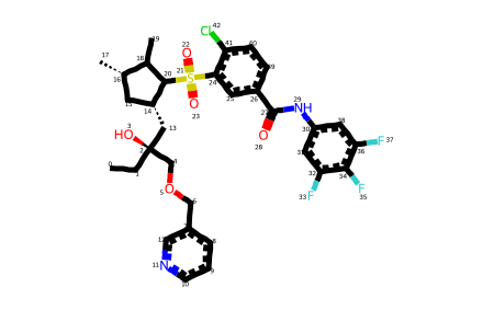 CC[C@@](O)(COCc1cccnc1)C[C@@H]1C[C@H](C)C(C)C1S(=O)(=O)c1cc(C(=O)Nc2cc(F)c(F)c(F)c2)ccc1Cl